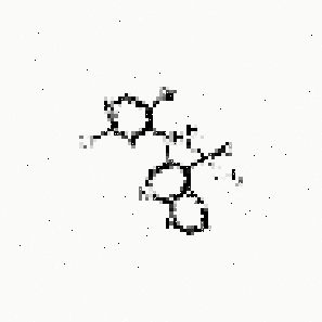 CP(C)(=O)c1c(Nc2nc(Cl)ncc2Br)cnc2ncccc12